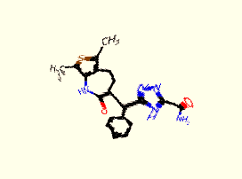 Cc1sc(C)c2c1CCC(C(c1ccccc1)c1nnc(C(N)=O)[nH]1)C(=O)N2